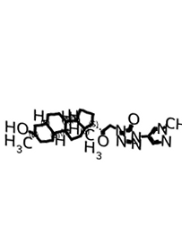 Cn1cc(-n2nnn(CC(=O)[C@H]3CC[C@H]4[C@@H]5CC[C@@H]6C[C@](C)(O)CC[C@@H]6[C@H]5CC[C@]34C)c2=O)cn1